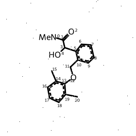 CNC(=O)C(O)c1ccccc1COc1c(C)cccc1C